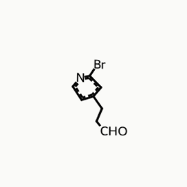 O=CCCc1ccnc(Br)c1